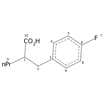 CCCC(Cc1ccc(F)cc1)C(=O)O